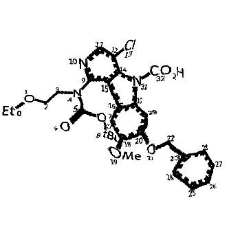 CCOCCN(C(=O)OC(C)(C)C)c1ncc(Cl)c2c1c1cc(OC)c(OCc3ccccc3)cc1n2C(=O)O